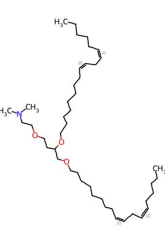 CCCCC/C=C\C/C=C\CCCCCCCCOCC(CCOCCN(C)C)OCCCCCCCC/C=C\C/C=C\CCCCC